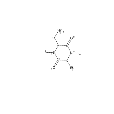 CCC1C(=O)N(C)C(CN)C(=O)N1C